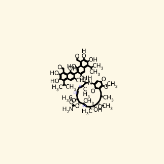 COC1=C2C[C@@H](C)C[C@H](OC)[C@H](O)[C@@H](C)/C=C(\C)[C@H](OC(N)=O)[C@@H](OC)/C=C\C=C(/C)C(=O)NC(=CC1=O)C2=O.Cc1cc2c(C(C)C)c(O)c(O)c(C=O)c2c(O)c1-c1c(C)cc2c(C(C)C)c(O)c(O)c(C=O)c2c1O